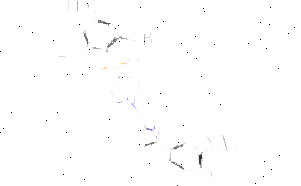 Cc1cc(C)c(S(=O)(=O)C2CCN(c3nc(-c4ccc(C)c(C)c4)cs3)CC2)c(C)c1